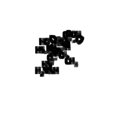 CCCC[C@H](NC(=O)[C@H](CCCNC(=N)N)NC(=O)[C@@H](N)CS)C(=O)N[C@@H](Cc1ccc(O)cc1)C(=O)N[C@@H](Cc1ccccc1)C(=O)O